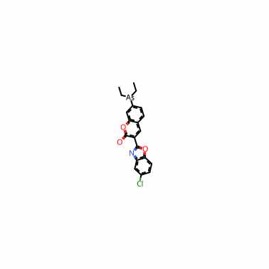 CC[As](CC)c1ccc2cc(-c3nc4cc(Cl)ccc4o3)c(=O)oc2c1